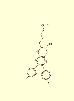 Cc1ccc(-c2nc3c(nc2-c2ccc(C)cc2)N(C)C(CCCCC(=O)O)C(O)C3)cc1